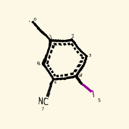 [CH2]c1ccc(I)c(C#N)c1